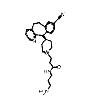 N#Cc1ccc2c(c1)CCc1cccnc1C2=C1CCN(CCC(=O)NCCCN)CC1